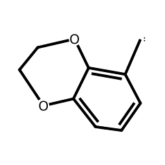 [CH]c1cccc2c1OCCO2